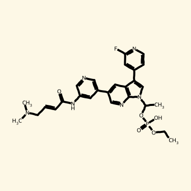 CCOP(=O)(O)OC(C)n1cc(-c2ccnc(F)c2)c2cc(-c3cncc(NC(=O)/C=C/CN(C)C)c3)cnc21